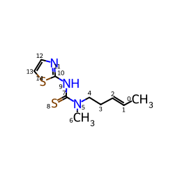 CC=CCCN(C)C(=S)Nc1nccs1